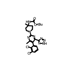 Cc1nc(N2CCC(C)(NC(=O)OC(C)(C)C)CC2)nc(-c2nn[nH]n2)c1-c1cccc(Cl)c1Cl